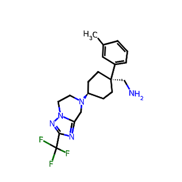 Cc1cccc([C@]2(CN)CC[C@H](N3CCn4nc(C(F)(F)F)nc4C3)CC2)c1